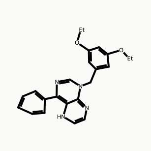 CCOc1cc(CN2[C]=NC(c3ccccc3)=C3NC=CN=C32)cc(OCC)c1